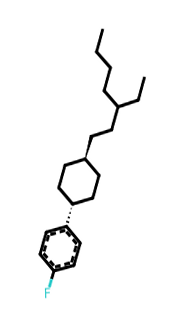 CCCCC(CC)CC[C@H]1CC[C@H](c2ccc(F)cc2)CC1